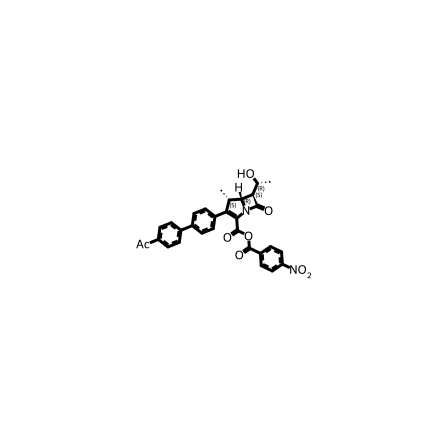 CC(=O)c1ccc(-c2ccc(C3=C(C(=O)OC(=O)c4ccc([N+](=O)[O-])cc4)N4C(=O)[C@H]([C@@H](C)O)[C@H]4[C@H]3C)cc2)cc1